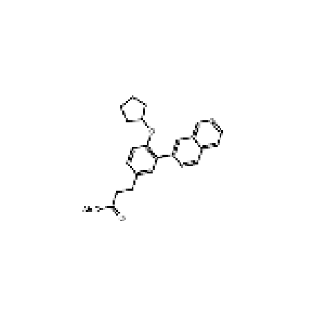 COC(=O)CCc1ccc(OC2CCCC2)c(-c2ccc3ccccc3c2)c1